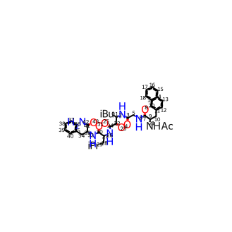 CCC(C)C(NC(=O)CNC(=O)C(Cc1ccc2ccccc2c1)NC(C)=O)C(=O)C(=O)NC(CC(C)C)C(=O)NC(Cc1ccccc1)C(N)=O